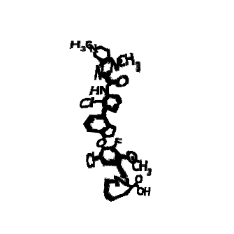 COc1c(CN2CCCCC2C(=O)O)cc(Cl)c(OC2CCc3c(-c4cccc(NC(=O)c5nc6c(n5C)CCN(C)C6)c4Cl)cccc32)c1F